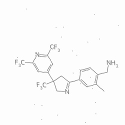 Cc1cc(C2=NCC(c3cc(C(F)(F)F)nc(C(F)(F)F)c3)(C(F)(F)F)C2)ccc1CN